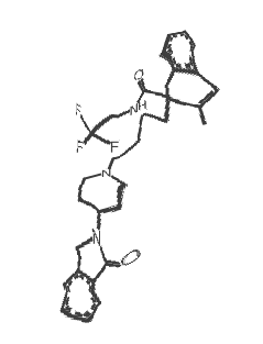 CC1=Cc2ccccc2C1(CCCCN1CCC(N2Cc3ccccc3C2=O)CC1)C(=O)NCC(F)(F)F